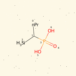 CCCC([SiH3])P(=O)(O)O